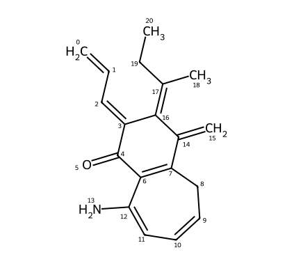 C=C/C=C1/C(=O)C2=C(CC=CC=C2N)C(=C)/C1=C(\C)CC